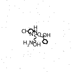 NC(O)=S.OC(COC(=S)Nc1ccc(Cl)cn1)c1ccccc1